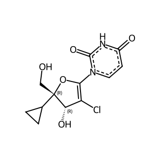 O=c1ccn(C2=C(Cl)[C@H](O)[C@](CO)(C3CC3)O2)c(=O)[nH]1